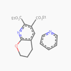 CCOC(=O)c1cc2c(nc1C(=O)OCC)OCCC2.c1ccncc1